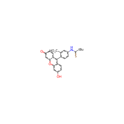 CC(C)(C)C(=S)Nc1ccc(-c2c3ccc(=O)cc-3oc3cc(O)ccc23)c(C(=O)O)c1